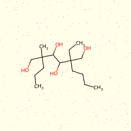 CCCCC(CC)(CO)C(O)C(O)C(C)(CO)CCC